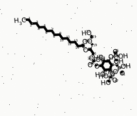 CCCCCCCCCCCCCCCC(=O)O[C@H](COCO)COP(=O)(O)OC1C(O)[C@H](OP(=O)(O)O)[C@H](CP(=O)(O)O)C(OP(=O)(O)O)[C@@H]1O